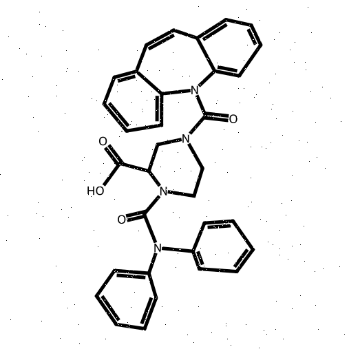 O=C(O)C1CN(C(=O)N2c3ccccc3C=Cc3ccccc32)CCN1C(=O)N(c1ccccc1)c1ccccc1